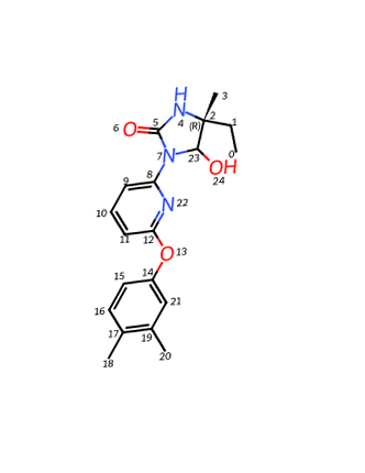 CC[C@@]1(C)NC(=O)N(c2cccc(Oc3ccc(C)c(C)c3)n2)C1O